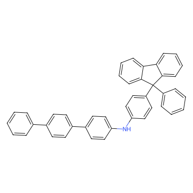 c1ccc(-c2ccc(-c3ccc(Nc4ccc(C5(c6ccccc6)c6ccccc6-c6ccccc65)cc4)cc3)cc2)cc1